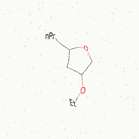 CCCC1CC(OCC)CO1